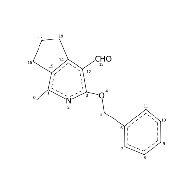 Cc1nc(OCc2ccccc2)c(C=O)c2c1CCC2